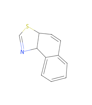 C1=CC2SC=NC2c2ccccc21